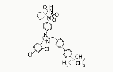 CC(C)(C)c1ccc(-c2ccc(Cc3nc(-c4ccc(Cl)cc4Cl)cn3-c3ccc(N4C5(CCCCC5)C(=O)NS4(=O)=O)cc3)cc2)cc1